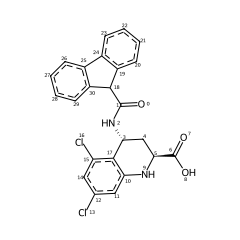 O=C(N[C@@H]1C[C@@H](C(=O)O)Nc2cc(Cl)cc(Cl)c21)C1c2ccccc2-c2ccccc21